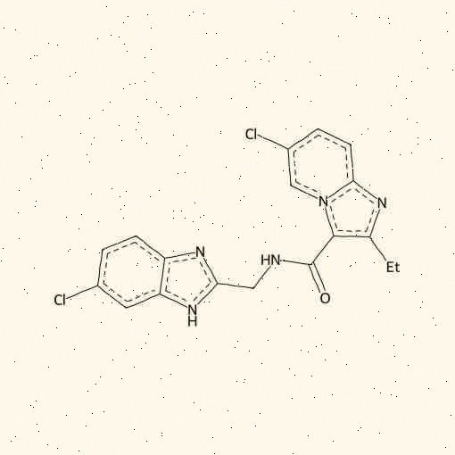 CCc1nc2ccc(Cl)cn2c1C(=O)NCc1nc2ccc(Cl)cc2[nH]1